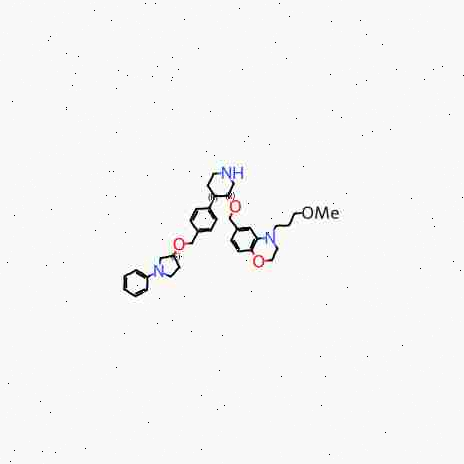 COCCCN1CCOc2ccc(CO[C@H]3CNCC[C@@H]3c3ccc(CO[C@H]4CCN(c5ccccc5)C4)cc3)cc21